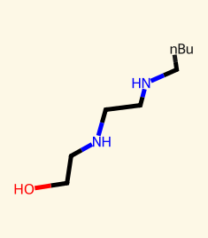 CCCCCNCCNCCO